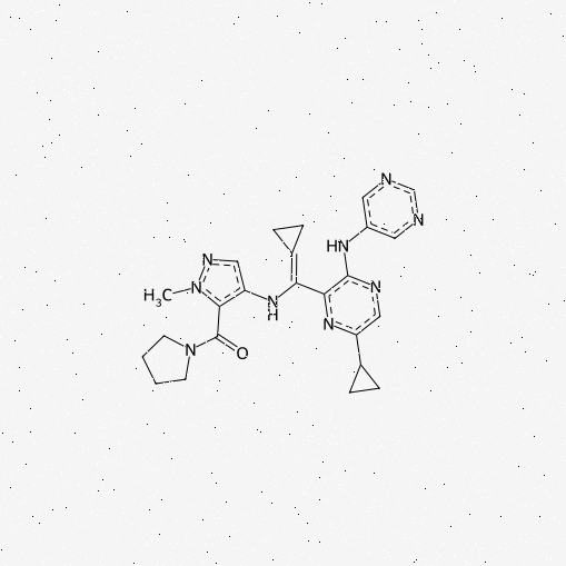 Cn1ncc(NC(=C2CC2)c2nc(C3CC3)cnc2Nc2cncnc2)c1C(=O)N1CCCC1